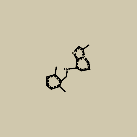 Cc1cccc(C)c1CNc1cccn2c(C)[c]nc12